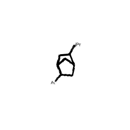 CC(=O)C1CC2CC1CC2C(C)C